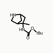 CC(C)(C)OC(=O)NC1(C)CC2CC1CN2